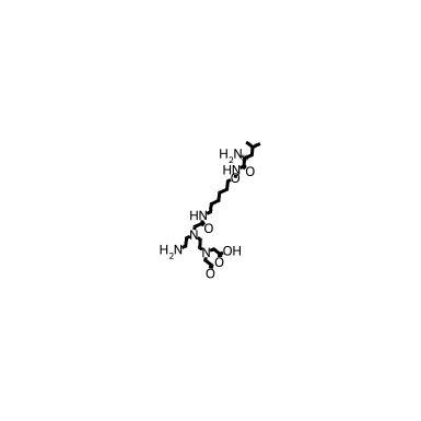 CC(C)C[C@@H](N)C(=O)NOCCCCCCNC(=O)CN(CCN)CCN(CC=O)CC(=O)O